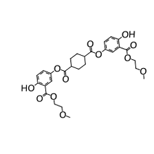 COCCOC(=O)c1cc(OC(=O)C2CCC(C(=O)Oc3ccc(O)c(C(=O)OCCOC)c3)CC2)ccc1O